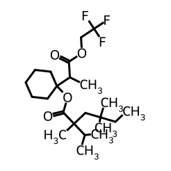 CCC(C)(C)CC(C)(C(=O)OC1(C(C)C(=O)OCC(F)(F)F)CCCCC1)C(C)C